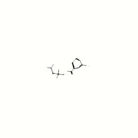 CC(C)C(=O)C(C)(C)COC(=O)c1cccc(Br)c1